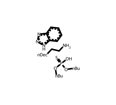 CCCCCCCCCCCCN.CCCCOP(O)(=S)OCCCC.c1ccc2[nH]nnc2c1